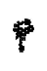 CN(CCc1ccccn1)C(=O)c1cn2c3c(c(NCCCn4ccnc4)c(F)cc3c1=O)Oc1cc3ccccc3cc1-2